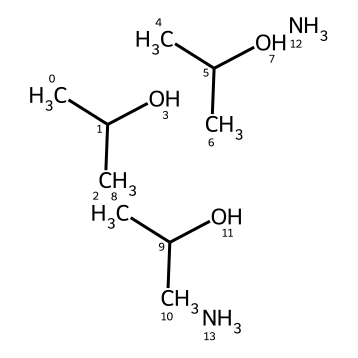 CC(C)O.CC(C)O.CC(C)O.N.N